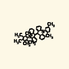 Cc1ccc(C)c(N2c3ccccc3C(=C3c4ccccc4N(c4c(C)c(C)c(C)c(C)c4C)c4ccccc43)c3ccccc32)c1